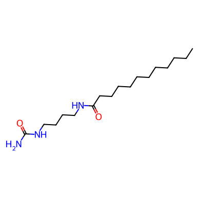 CCCCCCCCCCCC(=O)NCCCCNC(N)=O